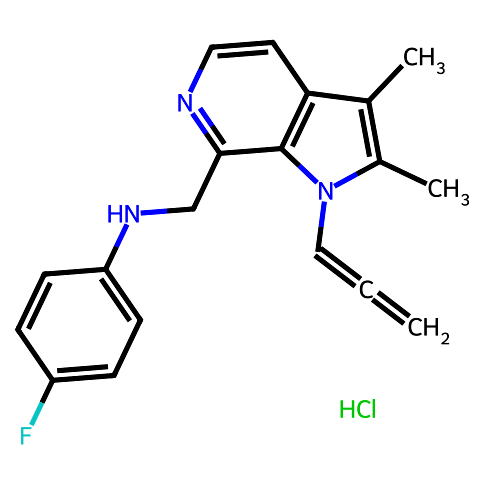 C=C=Cn1c(C)c(C)c2ccnc(CNc3ccc(F)cc3)c21.Cl